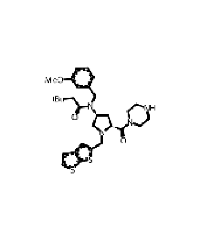 COc1cccc(CN(C(=O)CC(C)(C)C)[C@H]2C[C@@H](C(=O)N3CCNCC3)N(Cc3cc4ccsc4s3)C2)c1